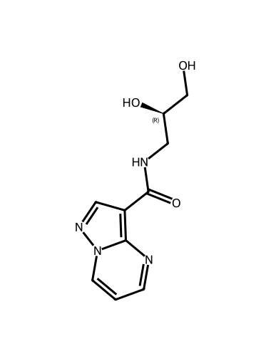 O=C(NC[C@@H](O)CO)c1cnn2cccnc12